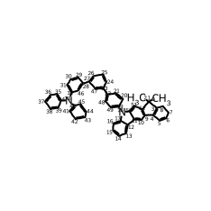 CC1(C)C2=C(C=CCC2)c2cc3c4ccccc4n(-c4ccc(-c5cccc(-c6cccc(N(c7ccccc7)c7ccccc7)c6)c5)cc4)c3cc21